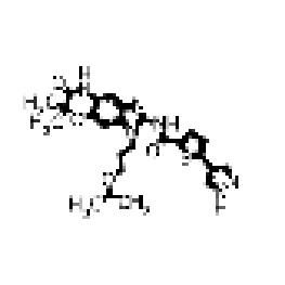 CC(C)OCCCn1c(NC(=O)c2ccc(-c3cn[nH]c3)s2)nc2cc3c(cc21)OC(C)(C)C(=O)N3